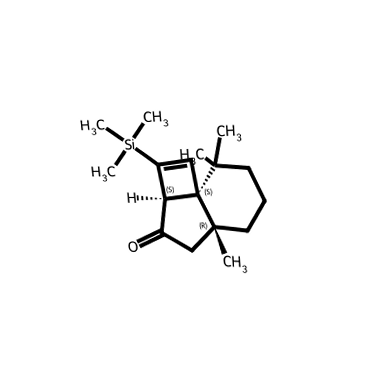 CC1(C)CCC[C@]2(C)CC(=O)[C@H]3C([Si](C)(C)C)=C[C@@]312